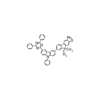 CC1(C)c2cc(-c3ccc4c(c3)c3cc(-c5nc(-c6ccccc6)nc(-c6ccccc6)n5)ccc3n4-c3ccccc3)ccc2-c2cc3ncoc3cc21